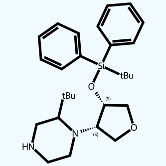 CC(C)(C)C1CNCCN1[C@H]1COC[C@H]1O[Si](c1ccccc1)(c1ccccc1)C(C)(C)C